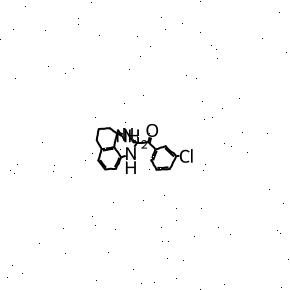 NC12CCCc3cccc(c31)NC(C(=O)c1cccc(Cl)c1)=N2